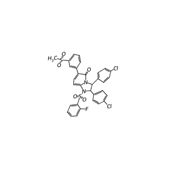 CS(=O)(=O)c1cccc(-c2ccc3n(c2=O)C(c2ccc(Cl)cc2)C(c2ccc(Cl)cc2)N3S(=O)(=O)c2ccccc2F)c1